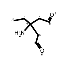 [CH2]CC(N)(CC=O)CC=O